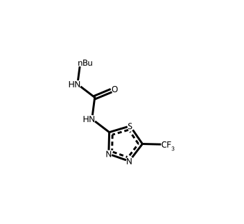 CCCCNC(=O)Nc1nnc(C(F)(F)F)s1